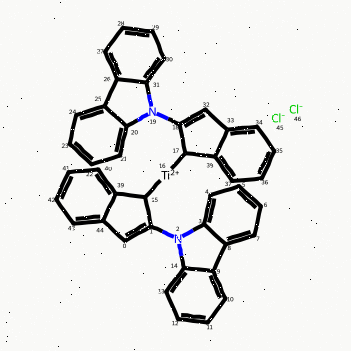 C1=C(n2c3ccccc3c3ccccc32)[CH]([Ti+2][CH]2C(n3c4ccccc4c4ccccc43)=Cc3ccccc32)c2ccccc21.[Cl-].[Cl-]